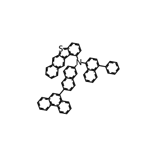 c1ccc(-c2ccc(N(c3ccc4cc(-c5cc6ccccc6c6ccccc56)ccc4c3)c3cccc4sc5cc6ccccc6cc5c34)c3ccccc23)cc1